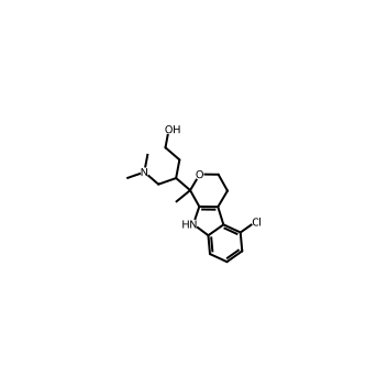 CN(C)CC(CCO)C1(C)OCCc2c1[nH]c1cccc(Cl)c21